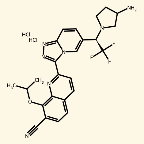 CC(C)Oc1c(C#N)ccc2ccc(-c3nnc4ccc([C@@H](N5CCC(N)C5)C(F)(F)F)cn34)nc12.Cl.Cl